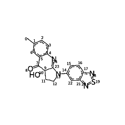 Cc1ccc2c(c1)C(=O)[C@]1(O)CCN(c3ccc4nsnc4c3)C1=N2